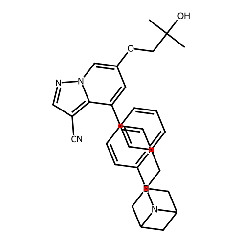 CC(C)(O)COc1cc(-c2ccc(N3CC4CC(C3)N4SCc3ccccc3)nc2)c2c(C#N)cnn2c1